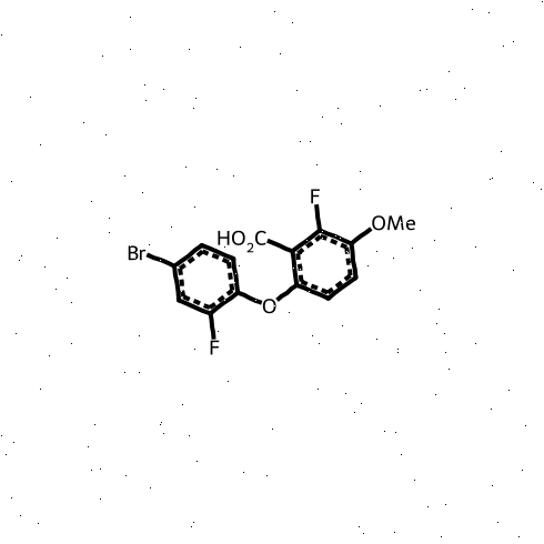 COc1ccc(Oc2ccc(Br)cc2F)c(C(=O)O)c1F